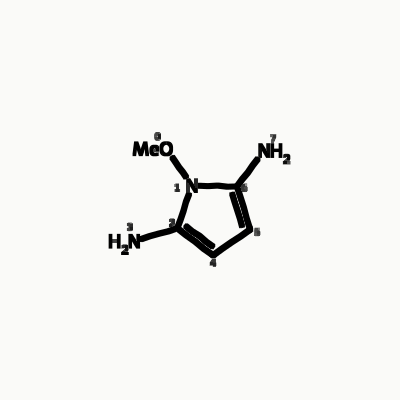 COn1c(N)ccc1N